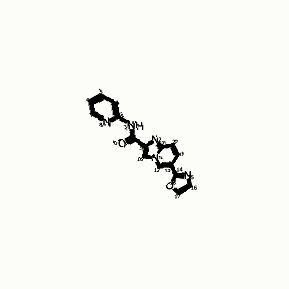 O=C(Nc1ccccn1)c1cn2cc(-c3ncco3)ccc2n1